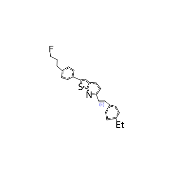 CCc1ccc(/C=C/c2ccc3cc(-c4ccc(CCCF)cc4)sc3n2)cc1